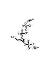 OCCO.[Al+3].[Al+3].[Al+3].[Al+3].[O-][Si]([O-])([O-])[O-].[O-][Si]([O-])([O-])[O-].[O-][Si]([O-])([O-])[O-]